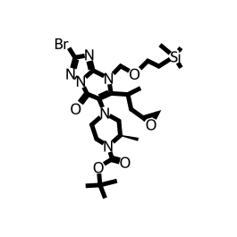 CC(CC1CO1)c1c(N2CCN(C(=O)OC(C)(C)C)[C@H](C)C2)c(=O)n2nc(Br)nc2n1COCC[Si](C)(C)C